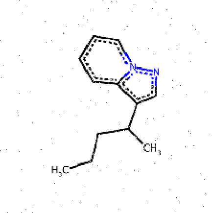 CCCC(C)c1cnn2ccccc12